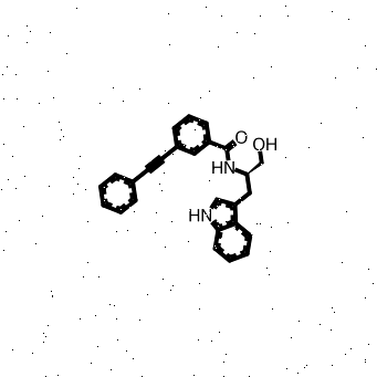 O=C(N[C@@H](CO)Cc1c[nH]c2ccccc12)c1cccc(C#Cc2ccccc2)c1